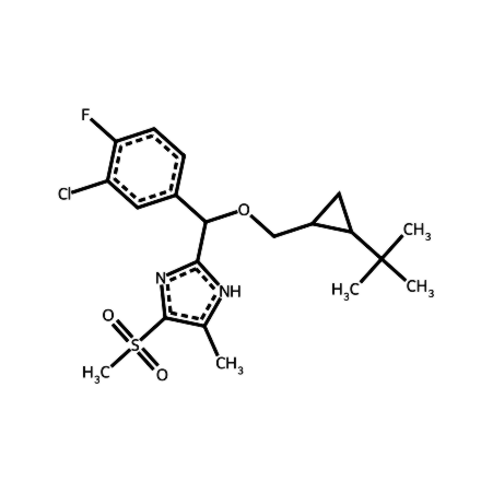 Cc1[nH]c(C(OCC2CC2C(C)(C)C)c2ccc(F)c(Cl)c2)nc1S(C)(=O)=O